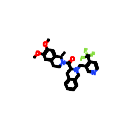 COc1cc2c(cc1OC)[C@@H](C)N(C(=O)C1Cc3ccccc3CN1Cc1cnccc1C(F)(F)F)CC2